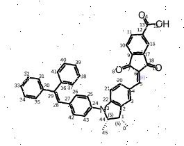 C[C@H]1c2cc(/C=C3\C(=O)c4ccc(C(=O)O)cc4C3=O)ccc2N(c2ccc(C=C(c3ccccc3)c3ccccc3)cc2)[C@H]1C